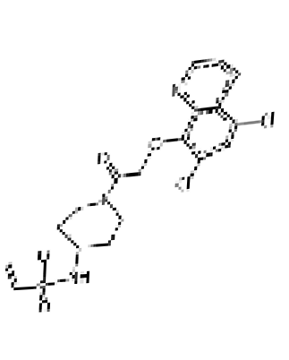 C=CS(=O)(=O)NC1CCN(C(=O)COc2c(Cl)cc(Cl)c3cccnc23)CC1